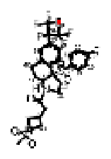 CS(=O)(=O)N1CC(CC(=O)N2CC[C@@]3(S(=O)(=O)c4ccc(F)cc4)c4ccc(C(F)(C(F)(F)F)C(F)(F)F)cc4CC[C@@H]23)C1